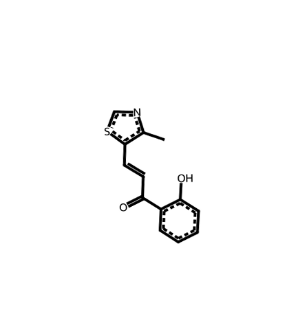 Cc1ncsc1C=CC(=O)c1ccccc1O